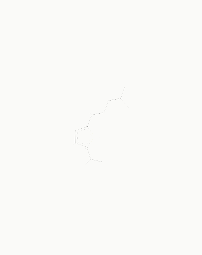 CC(C)CCCc1ccc(C(C)C)s1